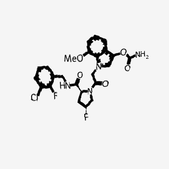 COc1cccc2c(OC(N)=O)cn(CC(=O)N3C[C@H](F)C[C@H]3C(=O)NCc3cccc(Cl)c3F)c12